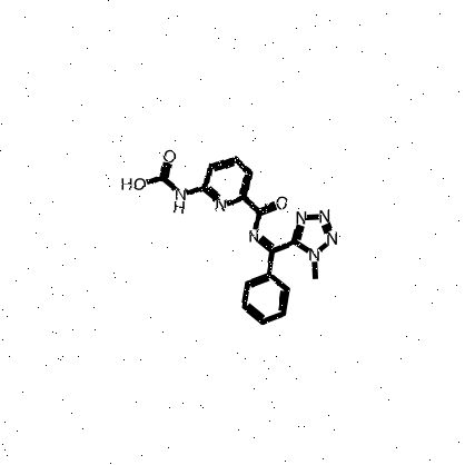 Cn1nnnc1C(=NC(=O)c1cccc(NC(=O)O)n1)c1ccccc1